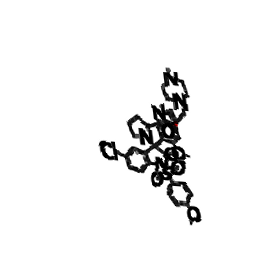 COc1ccc(S(=O)(=O)N2C(=O)C(c3ccc(CN4CCN(C)CC4)cc3OC)(N3CCCC3c3ncco3)c3cc(Cl)ccc32)cc1